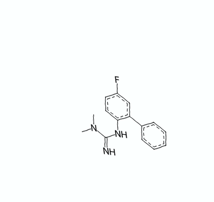 CN(C)C(=N)Nc1ccc(F)cc1-c1ccccc1